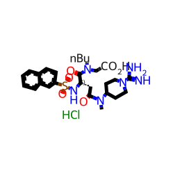 CCCCN(CC(=O)O)C(=O)[C@H](CC(=O)N(C)C1CCN(C(=N)N)CC1)NS(=O)(=O)c1ccc2ccccc2c1.Cl